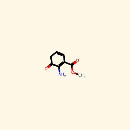 COC(=O)C1=C(N)C(=O)CC=C1